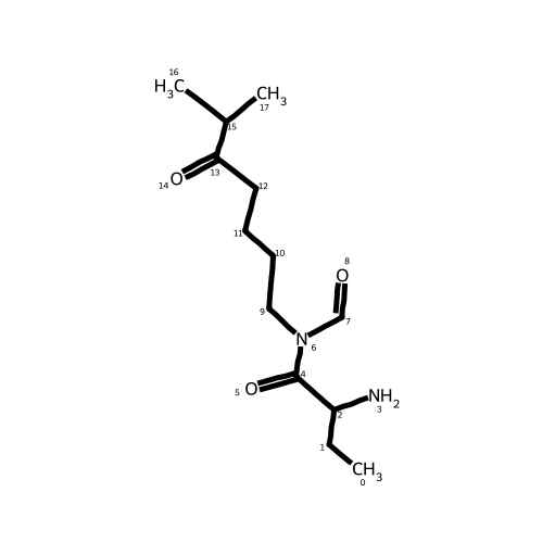 CCC(N)C(=O)N(C=O)CCCCC(=O)C(C)C